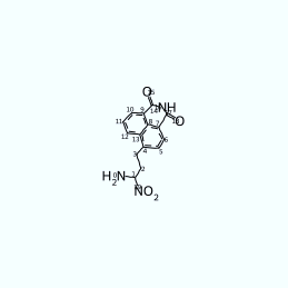 NC(CCc1ccc2c3c(cccc13)C(=O)NC2=O)[N+](=O)[O-]